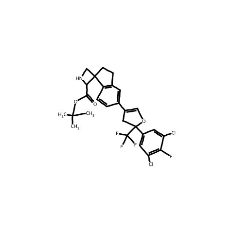 CC(C)(C)OC(=O)C1NCC12CCc1cc(C3=COC(c4cc(Cl)c(F)c(Cl)c4)(C(F)(F)F)C3)ccc12